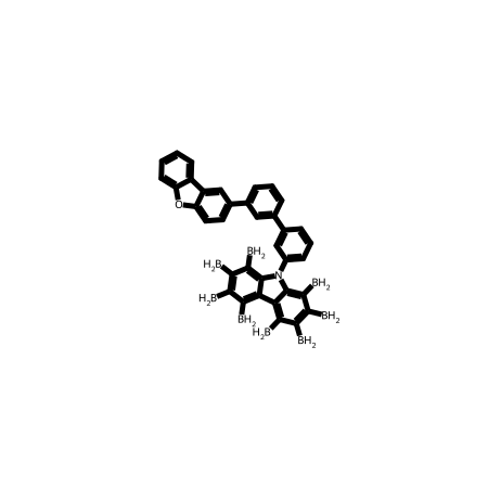 Bc1c(B)c(B)c2c(c1B)c1c(B)c(B)c(B)c(B)c1n2-c1cccc(-c2cccc(-c3ccc4oc5ccccc5c4c3)c2)c1